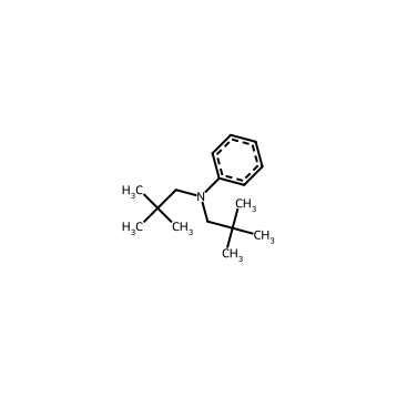 CC(C)(C)CN(CC(C)(C)C)c1ccccc1